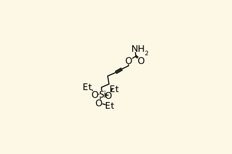 CCO[Si](CCCC#CCOC(N)=O)(OCC)OCC